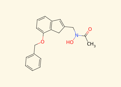 CC(=O)N(O)CC1=Cc2cccc(OCc3ccccc3)c2C1